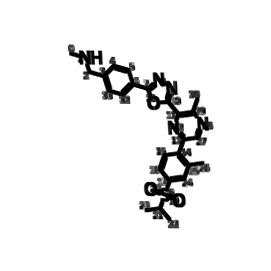 CNCc1ccc(-c2nnc(-c3nc(-c4ccc(S(=O)(=O)C(C)C)cc4C)cnc3C)o2)cc1